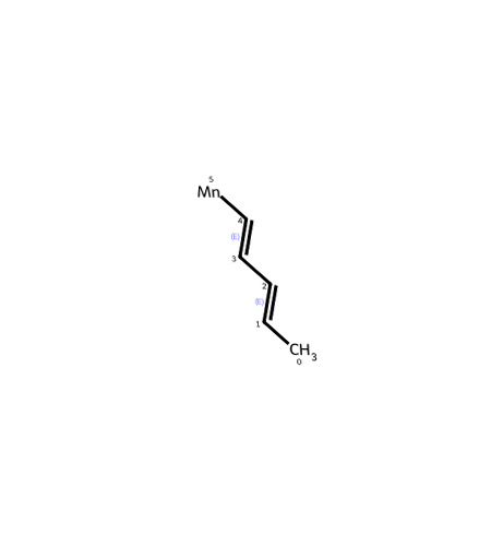 C/C=C/C=[CH]/[Mn]